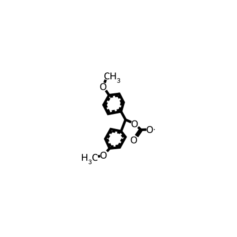 COc1ccc(C(OC([O])=O)c2ccc(OC)cc2)cc1